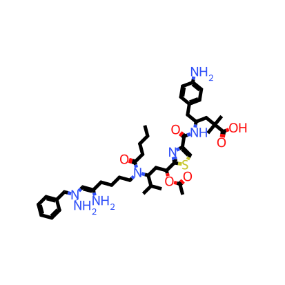 CCCCC(=O)N(CCCC/C(N)=C/N(N)Cc1ccccc1)C(CC(OC(C)=O)c1nc(C(=O)NC(Cc2ccc(N)cc2)CC(C)(C)C(=O)O)cs1)C(C)C